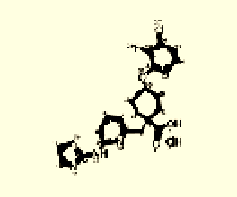 Cl.O=C(O)[C@]1(Cc2cccc(Nc3nccs3)n2)CC[C@@H](Oc2cccc(Cl)c2F)CC1